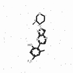 Cc1cc(C(F)(F)F)cc(O)c1-c1cnc2cn([C@H]3CCOC[C@@H]3C)nc2n1